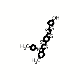 Cc1ccc(-n2c3cc(C)ccc3c3sc4c5cc6sc7c(sc8c9ccc(O)cc9sc87)c6cc5sc4c32)cc1